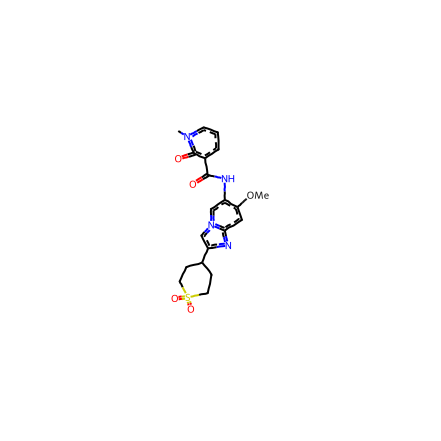 COc1cc2nc(C3CCS(=O)(=O)CC3)cn2cc1NC(=O)c1cccn(C)c1=O